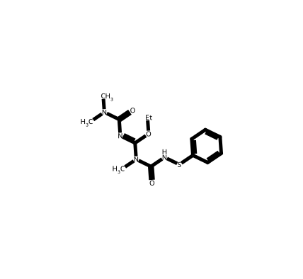 CCOC(=NC(=O)N(C)C)N(C)C(=O)NSc1ccccc1